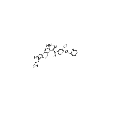 OCCN1NCC2=C1CCc1c2sc2c1C(Nc1ccc(OCc3ccccn3)c(Cl)c1)=NCN2